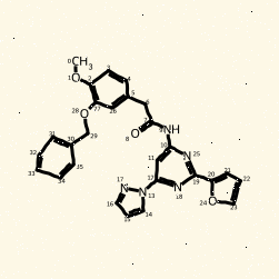 COc1ccc(CC(=O)Nc2cc(-n3cccn3)nc(-c3ccco3)n2)cc1OCc1ccccc1